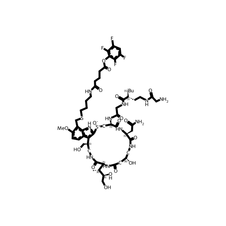 CC[C@H](C)[C@H](CCNC(=O)CN)C(=O)NCC(=O)N[C@@H]1C[S+]([O-])c2[nH]c3c(CSCCCCNC(=O)CCCC(=O)Oc4c(F)c(F)cc(F)c4F)c(OC)ccc3c2[C@H](CO)CNC(=O)[C@H]([C@@H](C)[C@@H](O)CO)NC(=O)C[C@@H](O)CNC(=O)[C@H](CC(N)=O)NC1=O